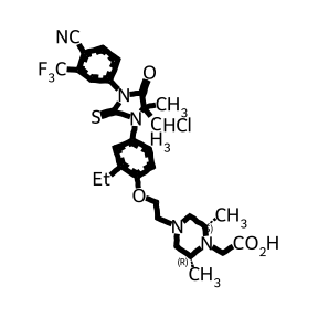 CCc1cc(N2C(=S)N(c3ccc(C#N)c(C(F)(F)F)c3)C(=O)C2(C)C)ccc1OCCN1C[C@@H](C)N(CC(=O)O)[C@@H](C)C1.Cl